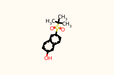 CC(C)(C)S(=O)(=O)c1ccc2cc(O)ccc2c1